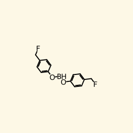 FCc1ccc(OBOc2ccc(CF)cc2)cc1